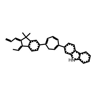 C=C/C=C1\C(=C/C)c2ccc(C3=CC=CC(c4ccc5c(c4)[nH]c4ccccc45)=CC3)cc2C1(C)C